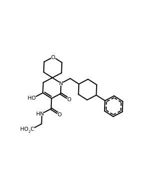 O=C(O)CNC(=O)C1=C(O)CC2(CCOCC2)N(CC2CCC(c3ccccc3)CC2)C1=O